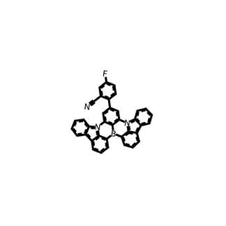 N#Cc1cc(F)ccc1-c1cc2c3c(c1)-n1c4ccccc4c4cccc(c41)B3c1cccc3c4ccccc4n-2c13